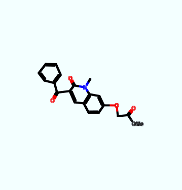 COC(=O)COc1ccc2cc(C(=O)c3ccccc3)c(=O)n(C)c2c1